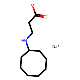 O=C([O-])CCNC1CCCCCCC1.[Na+]